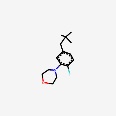 CC(C)(C)Cc1ccc(F)c(N2CCOCC2)c1